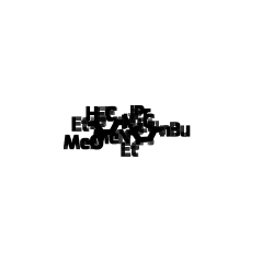 CCCCC(C)CC(CC)C(CC)(NC)N(C(C)C)C(C)CC(OC)C(CC)CC